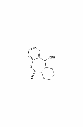 CC(C)(C)C1c2ccccc2SC(=O)C2CCCCC21